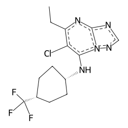 CCc1nc2ncnn2c(N[C@H]2CC[C@@H](C(F)(F)F)CC2)c1Cl